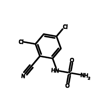 N#Cc1c(Cl)cc(Cl)cc1NS(N)(=O)=O